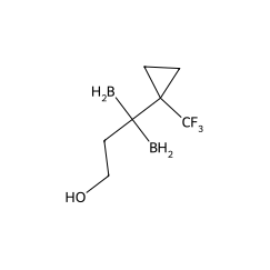 BC(B)(CCO)C1(C(F)(F)F)CC1